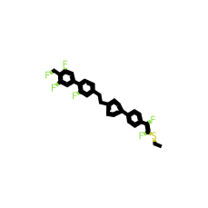 CCS/C(F)=C(\F)c1ccc(-c2ccc(CCc3ccc(-c4cc(F)c(CF)c(F)c4)c(F)c3)cc2)cc1